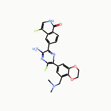 CN(C)Cc1cc(-c2nc(-c3ccc4c(=O)[nH]cc(F)c4c3)c(N)nc2F)cc2c1OCCO2